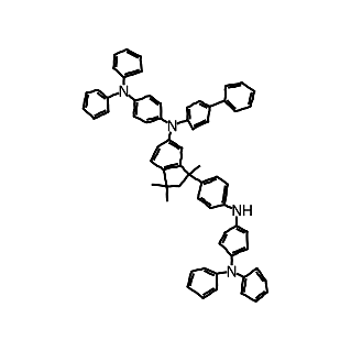 CC1(C)CC(C)(c2ccc(Nc3ccc(N(c4ccccc4)c4ccccc4)cc3)cc2)c2cc(N(c3ccc(-c4ccccc4)cc3)c3ccc(N(c4ccccc4)c4ccccc4)cc3)ccc21